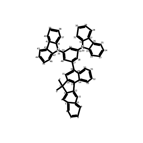 CC1(C)c2cc3ccccc3cc2-c2c1cc(-c1cc(-n3c4ccccc4c4ccccc43)cc(-n3c4ccccc4c4ccccc43)c1)c1ccccc21